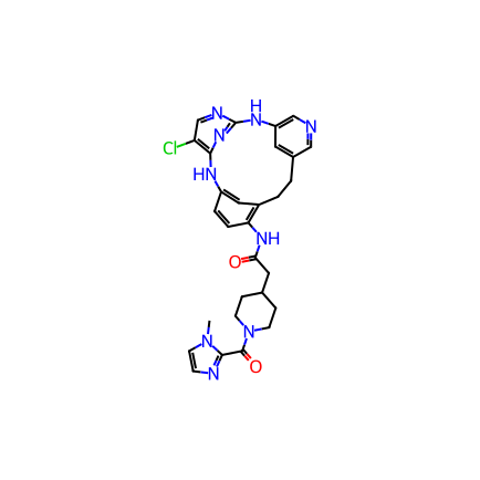 Cn1ccnc1C(=O)N1CCC(CC(=O)Nc2ccc3cc2CCc2cncc(c2)Nc2ncc(Cl)c(n2)N3)CC1